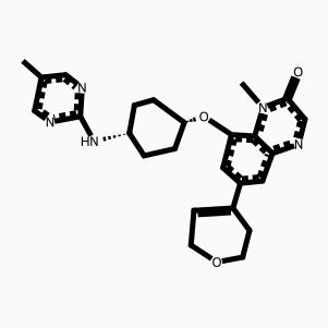 Cc1cnc(N[C@H]2CC[C@@H](Oc3cc(C4=CCOCC4)cc4ncc(=O)n(C)c34)CC2)nc1